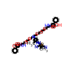 Cc1cc(N(CCOCCOCCCNC(=O)CC(C(=O)O)C2CCCCCCC2)CCOCCOCCOCCCNC(=O)CC(C(=O)O)C2CCCCCCC2)ccc1/N=N/c1sc(C#N)c(C)c1C#N